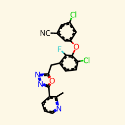 Cc1ncccc1-c1nnc(Cc2ccc(Cl)c(Oc3cc(Cl)cc(C#N)c3)c2F)o1